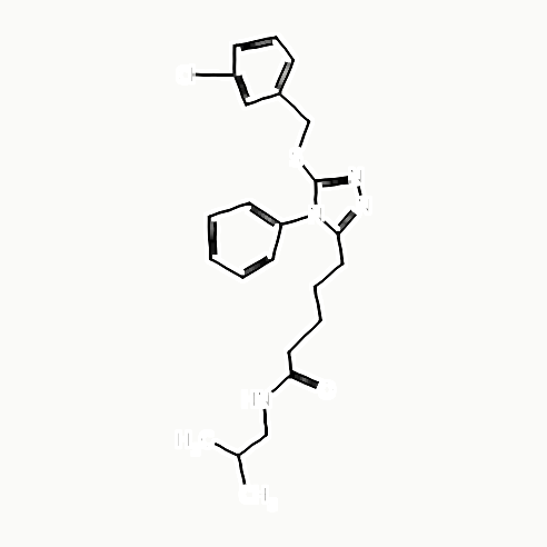 CC(C)CNC(=O)CCCCc1nnc(SCc2cccc(Cl)c2)n1-c1ccccc1